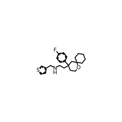 Fc1ccc(C2(CCNCc3ccsc3)CCOC3(CCCCC3)C2)cc1